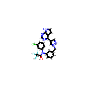 O=C(N(c1cccc(Cl)c1)c1cccc(Cn2cc(-c3ncnc4[nH]ccc34)cn2)c1)C(F)(F)F